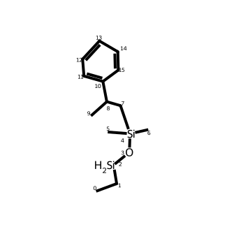 CC[SiH2]O[Si](C)(C)CC(C)c1ccccc1